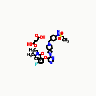 CCN(C(=O)c1cc(F)ccc1Oc1cncnc1N1CC2(CCN(CC3CCC(NS(=O)(=O)CC)CC3)CC2)C1)C(C)C.O=C(O)/C=C/C(=O)O